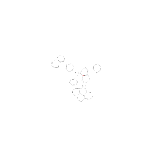 c1ccc(-c2ccc(N(c3ccc(-c4cccc5ccccc45)cc3)c3ccccc3-c3ccccc3-n3c4cccc5ccc6cccc3c6c54)cc2)cc1